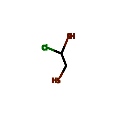 SCC(S)Cl